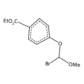 CCOC(=O)c1ccc(OC(Br)OC)cc1